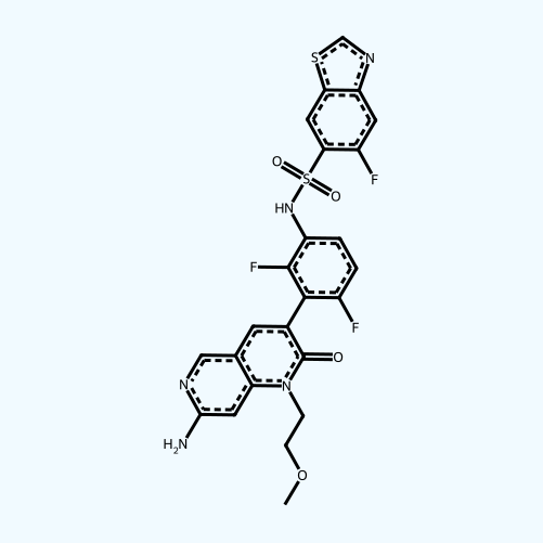 COCCn1c(=O)c(-c2c(F)ccc(NS(=O)(=O)c3cc4scnc4cc3F)c2F)cc2cnc(N)cc21